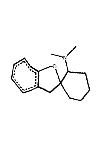 CN(C)C1CCCCC12Cc1ccccc1O2